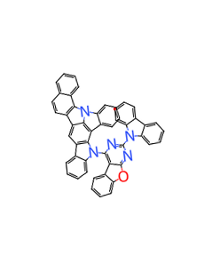 c1ccc2c(c1)ccc1c3cc4c5ccccc5n(-c5nc(-n6c7ccccc7c7ccccc76)nc6oc7ccccc7c56)c4c4c5ccccc5n(c21)c34